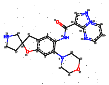 O=C(Nc1cc2c(cc1N1CCOCC1)OC1(CCNC1)C2)c1cnn2cccnc12